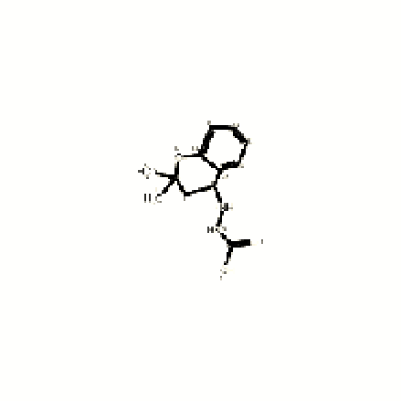 CC1(C)CC(NNC(=O)O)c2ccccc2O1